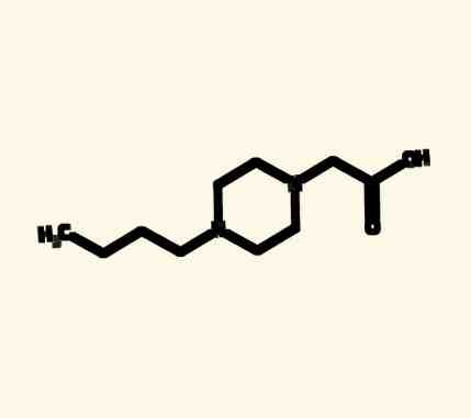 CCCCN1CCN(CC(=O)O)CC1